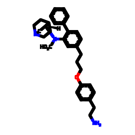 NCCc1ccc(OCCCc2ccc(-c3ccccc3)c(N(C(=O)O)[C@H]3CN4CCC3CC4)c2)cc1